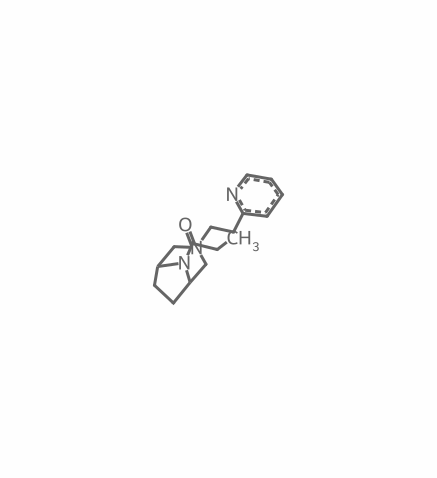 CCC(=O)N1C2CCC1CN(CCc1ccccn1)C2